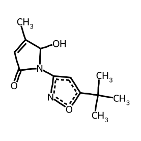 CC1=CC(=O)N(c2cc(C(C)(C)C)on2)C1O